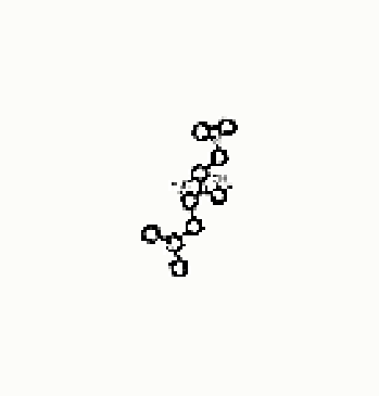 Cc1ccccc1N(c1cccc(C2=CC(C3=CC(c4ccccc4)=NC(C4=CCCC=C4)C3)CC=C2)c1)c1cc(-c2cccc(-n3c4ccccc4c4ccccc43)c2)ccc1C